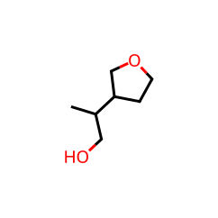 CC(CO)C1CCOC1